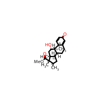 COC(=O)[C@@]1(C)[C@H](C)C[C@H]2[C@@H]3CCC4=CC(=O)C=C[C@]4(C)[C@H]3[C@@H](O)C[C@@]21C